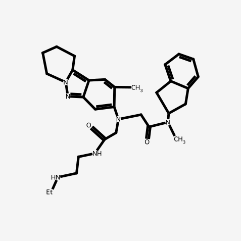 CCNCCNC(=O)CN(CC(=O)N(C)C1Cc2ccccc2C1)c1cc2nn3c(c2cc1C)CCCC3